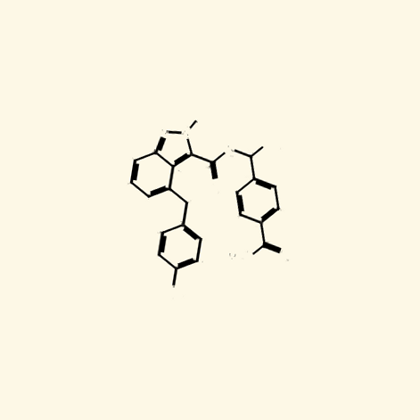 CCn1nc2cccc(Cc3ccc(C(F)(F)F)cc3)c2c1C(=O)NC(C)c1ccc(C(=O)OC)cc1